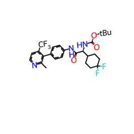 Cc1nccc(C(F)(F)F)c1-c1ccc(NC(=O)[C@@H](NC(=O)OC(C)(C)C)C2CCC(F)(F)CC2)cc1